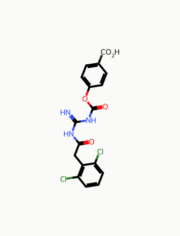 N=C(NC(=O)Cc1c(Cl)cccc1Cl)NC(=O)Oc1ccc(C(=O)O)cc1